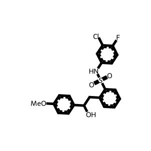 COc1ccc(C(O)Cc2ccccc2S(=O)(=O)Nc2ccc(F)c(Cl)c2)cc1